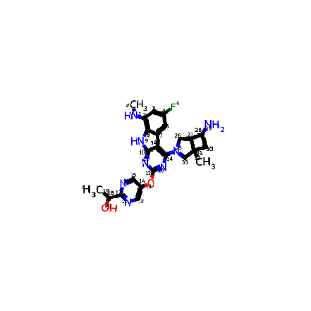 CNc1cc(F)cc2c1[nH]c1nc(Oc3cnc(C(C)O)nc3)nc(N3CC4C(N)CC4(C)C3)c12